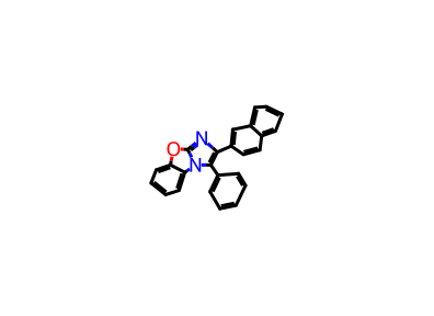 c1ccc(-c2c(-c3ccc4ccccc4c3)nc3oc4ccccc4n23)cc1